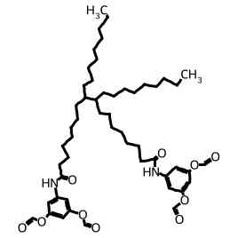 CCCCCCCCCC(CCCCCCCC(=O)Nc1cc(OC=O)cc(OC=O)c1)C(CCCCCCCCC)CCCCCCCC(=O)Nc1cc(OC=O)cc(OC=O)c1